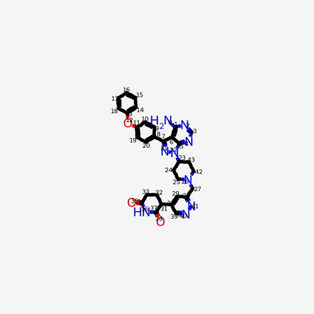 Nc1ncnc2c1c(-c1ccc(Oc3ccccc3)cc1)nn2C1CCN(Cc2cc(C3CCC(=O)NC3=O)cnn2)CC1